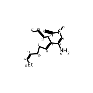 C#CN(C)/C=C(N)\C(=C\CC/C=C\CC)CC=CC